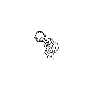 C[CH]=[Os]([CH3])([CH3])([CH3])([CH3])([CH3])([CH3])(=[CH]C)[c]1ccccc1